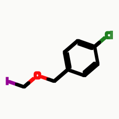 Clc1ccc(COCI)cc1